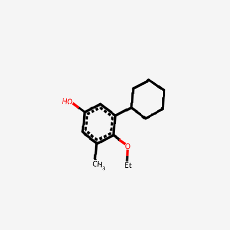 CCOc1c(C)cc(O)cc1C1CCCCC1